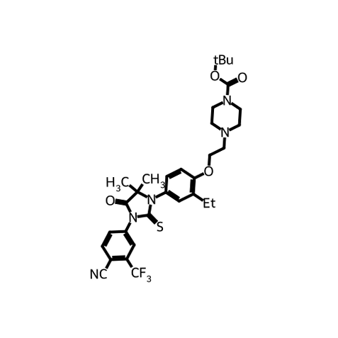 CCc1cc(N2C(=S)N(c3ccc(C#N)c(C(F)(F)F)c3)C(=O)C2(C)C)ccc1OCCN1CCN(C(=O)OC(C)(C)C)CC1